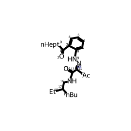 CCCCCCCC(=O)c1ccccc1N/N=C(/C(C)=O)C(=O)NCC(CC)CCCC